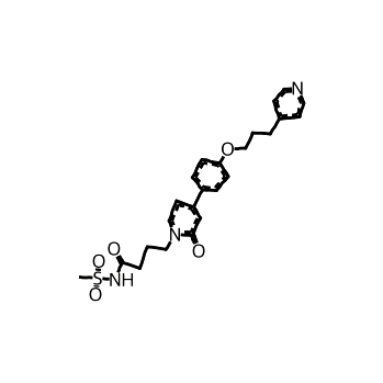 CS(=O)(=O)NC(=O)CCCn1ccc(-c2ccc(OCCCc3ccncc3)cc2)cc1=O